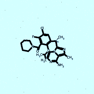 Cc1nc([C@@H](C)c2cc(Cl)c(F)c(C(=O)N3CCCCC3)c2OC(C)C)n2ccnc(N)c12